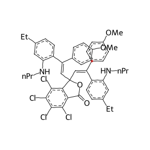 CCCNc1cc(CC)ccc1C(=CC1(C=C(c2ccc(OC)cc2)c2ccc(CC)cc2NCCC)OC(=O)c2c(Cl)c(Cl)c(Cl)c(Cl)c21)c1ccc(OC)cc1